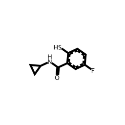 O=C(NC1CC1)c1cc(F)ccc1S